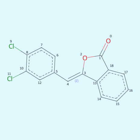 O=C1O/C(=C\c2ccc(Cl)c(Cl)c2)c2ccccc21